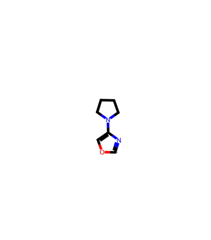 [c]1nc(N2CCCC2)co1